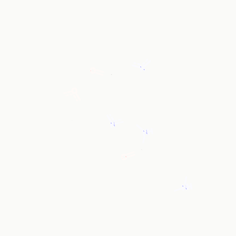 O=C(c1ccccn1)c1sc(NC(=O)C2CCNCC2)nc1-c1ccco1